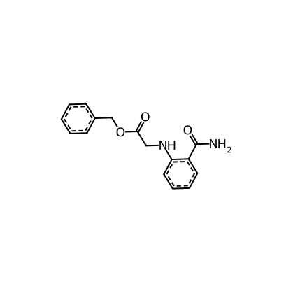 NC(=O)c1ccccc1NCC(=O)OCc1ccccc1